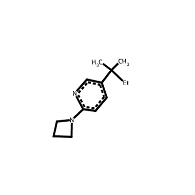 CCC(C)(C)c1ccc(N2CCC2)nc1